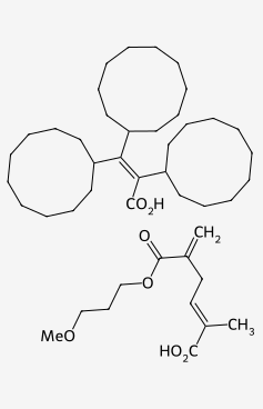 C=C(CC=C(C)C(=O)O)C(=O)OCCCOC.O=C(O)C(=C(C1CCCCCCCCC1)C1CCCCCCCCC1)C1CCCCCCCCC1